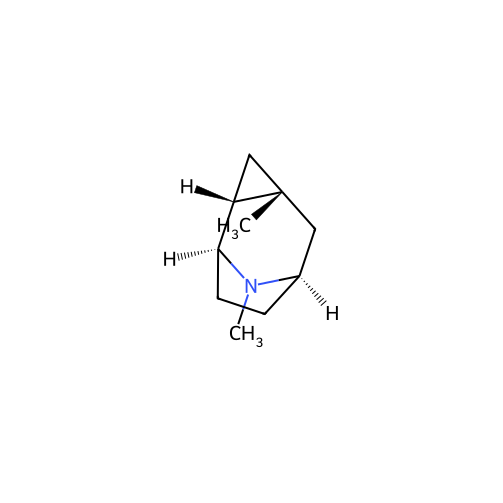 CN1[C@@H]2CC[C@H]1[C@@H]1C[C@]1(C)C2